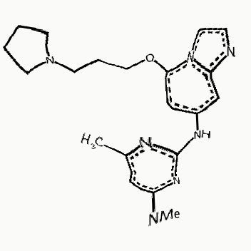 CNc1cc(C)nc(Nc2cc(OCCCN3CCCC3)n3ccnc3c2)n1